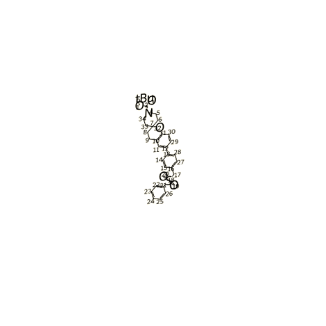 CC(C)(C)OC(=O)N1CCC2(CCc3cc(-c4ccc(CS(=O)(=O)c5ccccc5)cc4)ccc3O2)CC1